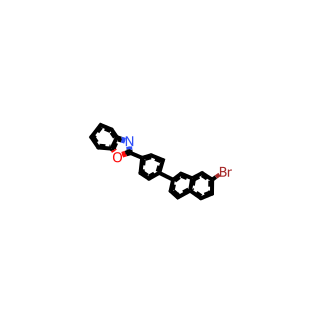 Brc1ccc2ccc(-c3ccc(-c4nc5ccccc5o4)cc3)cc2c1